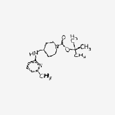 Cc1cccc(NC2CCN(C(=O)OC(C)(C)C)CC2)n1